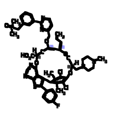 C=C/C=C1\C=C(/OCc2ccnc(-c3cccc(CP(C)(C)=O)c3)n2)C[C@H](C(=O)O)Oc2ncnc3sc(-c4ccc(F)cc4)c(c23)-c2c(C)c(Cl)c(c(Cl)c2C)O[C@H](CN2CCN(C)CC2)CO1